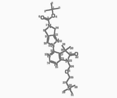 CC(C)(C)OC(=O)N1Cc2cn(-c3ncnc4c3C(C)(C)C(=O)N4COCC[Si](C)(C)C)nc2C1